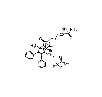 CC12C(=O)C(C)(C(c3ccccc3)=C1c1ccccc1)C1(Br)C(=O)N(CCCC[C@H](N)C(N)=O)C(=O)C21.O=C(O)C(F)(F)F